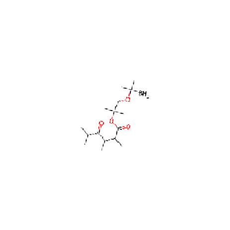 BC(C)(C)OCC(C)(C)OC(=O)C(C)C(C)C(=O)C(C)C